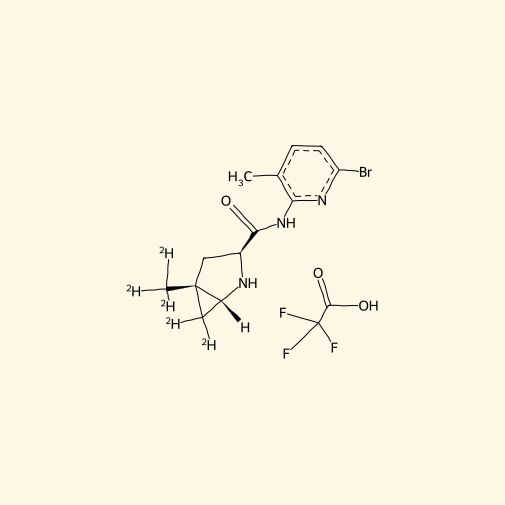 O=C(O)C(F)(F)F.[2H]C([2H])([2H])[C@@]12C[C@@H](C(=O)Nc3nc(Br)ccc3C)N[C@@H]1C2([2H])[2H]